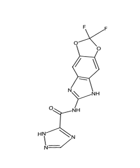 O=C(Nc1nc2cc3c(cc2[nH]1)OC(F)(F)O3)c1ncn[nH]1